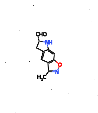 Cc1noc2cc3c(cc12)CC(C=O)N3